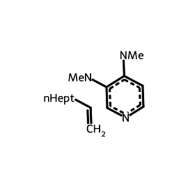 C=CCCCCCCC.CNc1ccncc1NC